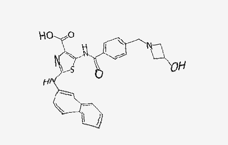 O=C(Nc1sc(Nc2ccc3ccccc3c2)nc1C(=O)O)c1ccc(CN2CC(O)C2)cc1